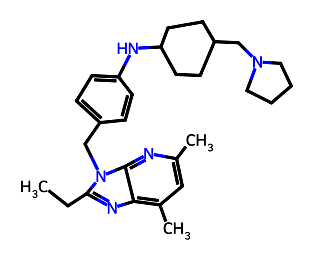 CCc1nc2c(C)cc(C)nc2n1Cc1ccc(NC2CCC(CN3CCCC3)CC2)cc1